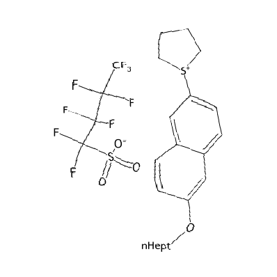 CCCCCCCOc1ccc2cc([S+]3CCCC3)ccc2c1.O=S(=O)([O-])C(F)(F)C(F)(F)C(F)(F)C(F)(F)F